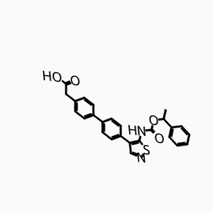 CC(OC(=O)Nc1sncc1-c1ccc(-c2ccc(CC(=O)O)cc2)cc1)c1ccccc1